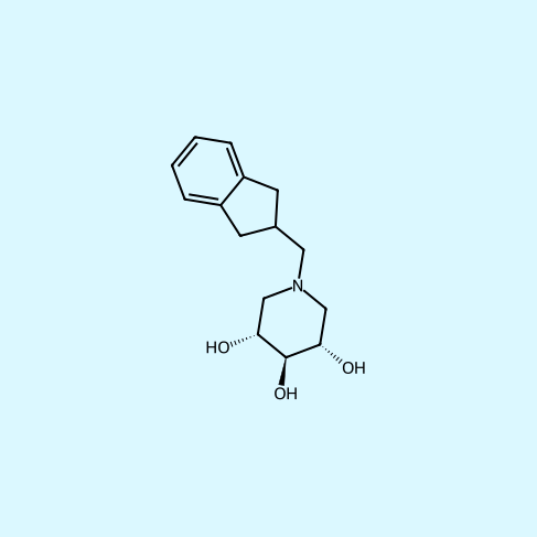 O[C@H]1[C@H](O)CN(CC2Cc3ccccc3C2)C[C@@H]1O